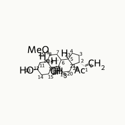 C=C[C@H]1CC[C@H]2[C@@H]3C[C@@H](OC)[C@H]4C[C@H](O)CC[C@]4(C)[C@H]3CC[C@]12C(C)=O